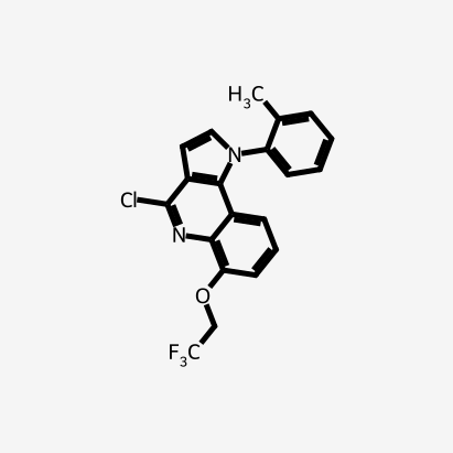 Cc1ccccc1-n1ccc2c(Cl)nc3c(OCC(F)(F)F)cccc3c21